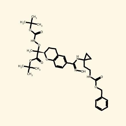 CC(C)(C)OC(=O)NOC(C)(C(=O)OC(C)(C)C)[C@H]1CCc2cc(/C(=N/O)NC3(CCNC(=O)OCc4ccccc4)CC3)ccc2O1